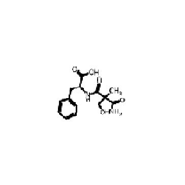 CC(CO)(C(N)=O)C(=O)N[C@@H](Cc1ccccc1)C(=O)O